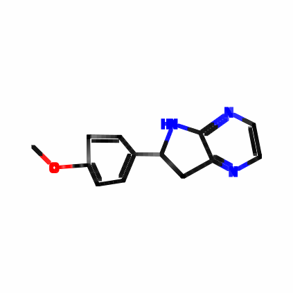 COc1ccc(C2Cc3nccnc3N2)cc1